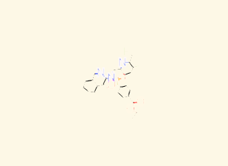 CCOC(=O)c1ccc(S(=O)(=O)N(Cc2ccc(F)c(CF)n2)c2ncc3ccccc3c2C)cc1